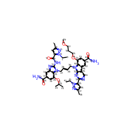 CCn1nc(C)cc1C(=O)Nc1nc2cc(C(N)=O)cc(OC(C)C)c2n1CC=CCn1c2nc(-c3cc(C)nn3CC)ncc2c2cc(C(N)=O)cc(OCCCOC)c21